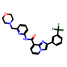 O=C(Nc1cccc(CN2CCOCC2)n1)c1cccn2cc(-c3cccc(C(F)(F)F)c3)nc12